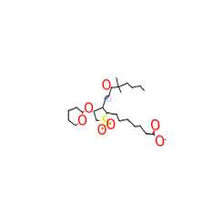 CCCCC(C)(C)C(=O)/C=C/C1C(OC2CCCCO2)CS(=O)(=O)C1CCCCCCC(=O)OC